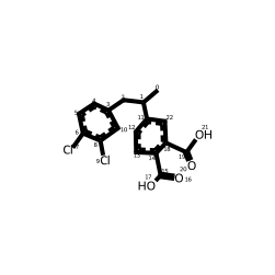 CC(Cc1ccc(Cl)c(Cl)c1)c1ccc(C(=O)O)c(C(=O)O)c1